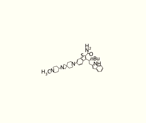 CCCCC(Cc1cc2ccccc2[nH]1)c1c(C(N)=O)sc2cc(N3CCC4(CC3)CN(C3CCN(C)CC3)C4)ccc12